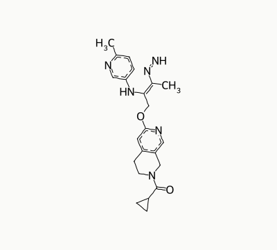 C/C(N=N)=C(\COc1cc2c(cn1)CN(C(=O)C1CC1)CC2)Nc1ccc(C)nc1